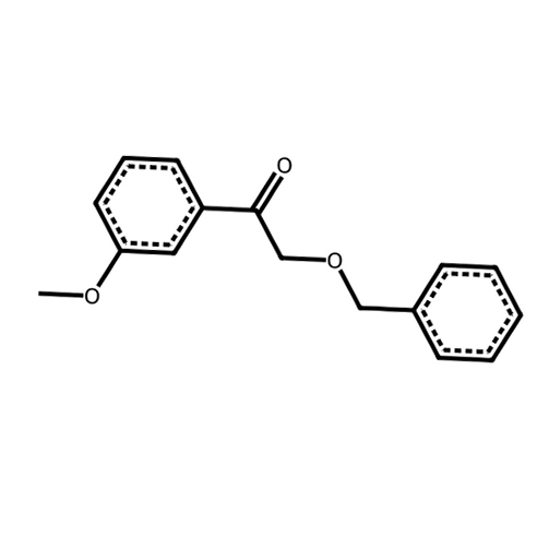 COc1cccc(C(=O)COCc2ccccc2)c1